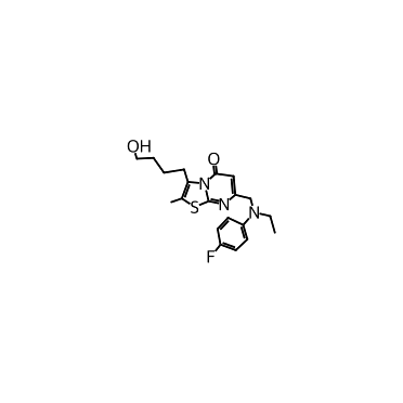 CCN(Cc1cc(=O)n2c(CCCCO)c(C)sc2n1)c1ccc(F)cc1